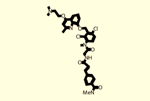 CNC(=O)c1ccc(/C=C/C(=O)NCC(=O)N(C)c2ccc(Cl)c(COc3cccc4c(OCCN(C)C)cc(C)nc34)c2Cl)cc1